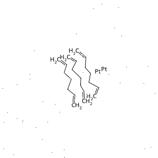 C=CCCCC=C.C=CCCCC=C.C=CCCCC=C.[Pt].[Pt]